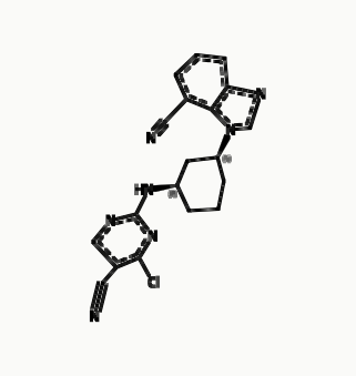 N#Cc1cnc(N[C@@H]2CCC[C@H](n3cnc4cccc(C#N)c43)C2)nc1Cl